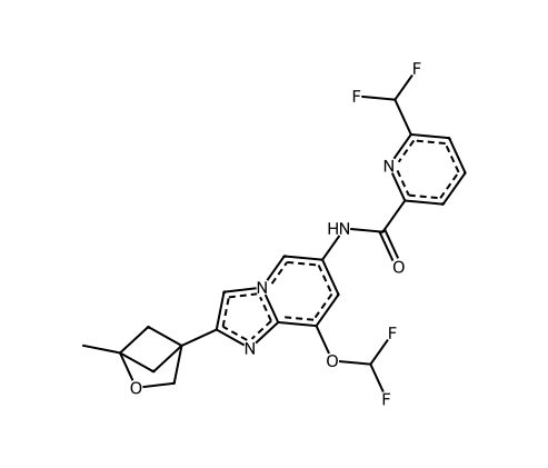 CC12CC(c3cn4cc(NC(=O)c5cccc(C(F)F)n5)cc(OC(F)F)c4n3)(CO1)C2